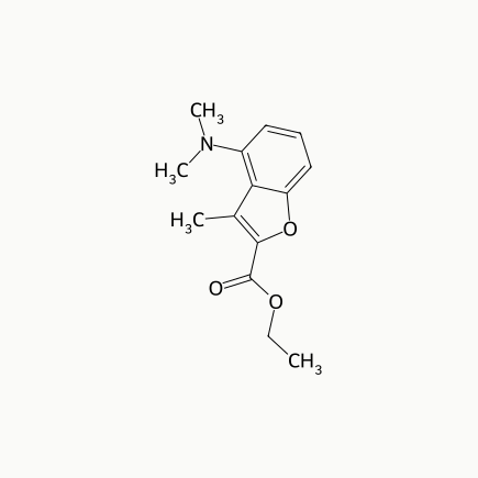 CCOC(=O)c1oc2cccc(N(C)C)c2c1C